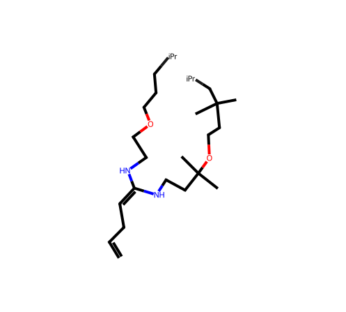 C=CC/C=C(/NCCOCCCC(C)C)NCCC(C)(C)OCCC(C)(C)CC(C)C